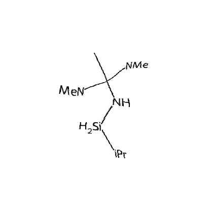 CNC(C)(NC)N[SiH2]C(C)C